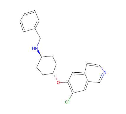 Clc1cc2cnccc2cc1O[C@H]1CC[C@H](NCc2ccccc2)CC1